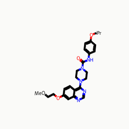 COCCOc1ccc2c(N3CCN(C(=O)Nc4ccc(OC(C)C)cc4)CC3)ncnc2c1